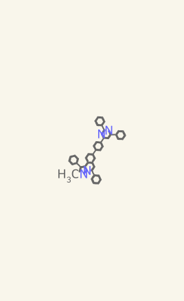 Cc1nn2c(-c3ccccc3)cc3cc(-c4ccc(-c5cc(-c6ccccc6)nc(-c6ccccc6)n5)cc4)ccc3c2c1-c1ccccc1